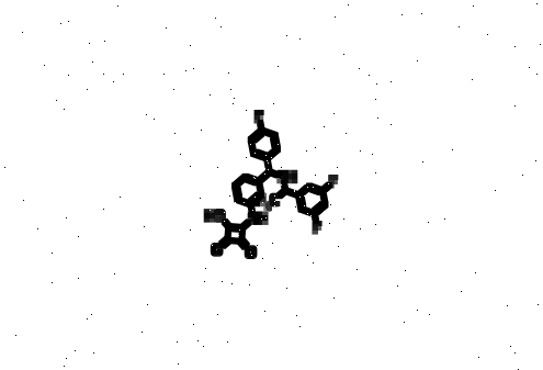 CC(NC(c1ccc(F)cc1)c1cccc(Nc2c(O)c(=O)c2=O)c1)c1cc(F)cc(F)c1